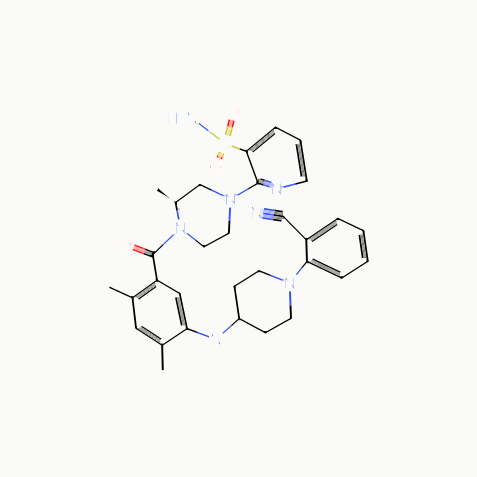 Cc1cc(C)c(C(=O)N2CCN(c3ncccc3S(N)(=O)=O)C[C@@H]2C)cc1NC1CCN(c2ccccc2C#N)CC1